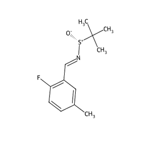 Cc1ccc(F)c(C=N[S@+]([O-])C(C)(C)C)c1